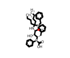 CCCCC1(CCCC)N[C@@H]([C@@H](O)[C@H](Cc2ccccc2)N(C(=O)O)c2ccccc2)C(=O)N1Cc1ccccc1